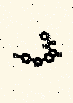 CCc1ccc(-n2cc(-c3ccc4[nH]cc(NC(=O)C5CCCO5)c4c3)cn2)cc1